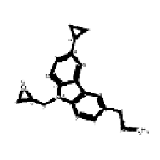 CCCc1ccc2c(c1)c1cc(C3CC3)ccc1n2CC1CO1